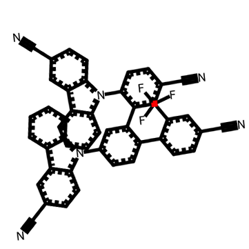 N#Cc1ccc(-n2c3ccccc3c3cc(C#N)ccc32)c(-c2cc(-n3c4ccccc4c4cc(C#N)ccc43)ccc2-c2ccc(C#N)cc2C(F)(F)F)c1